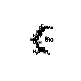 CCc1cc(Nc2nccn3c(-c4ccc(OC)c(F)c4F)cnc23)ccc1C(=O)NCCOCC[N+](C)(C)CC(N)=O.O=C[O-]